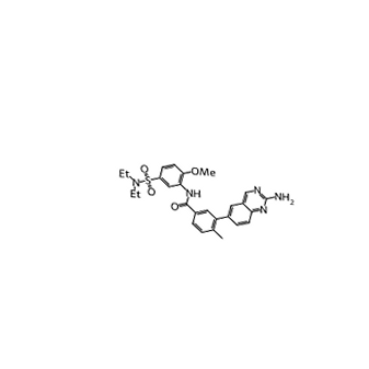 CCN(CC)S(=O)(=O)c1ccc(OC)c(NC(=O)c2ccc(C)c(-c3ccc4nc(N)ncc4c3)c2)c1